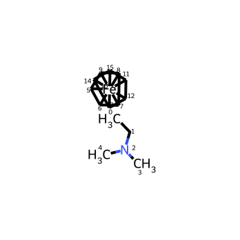 CCN(C)C.[CH]12[CH]3[CH]4[CH]5[CH]1[Fe]23451678[CH]2[CH]1[CH]6[CH]7[CH]28